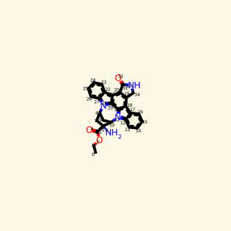 CCOC(=O)[C@]1(N)CC2CC1n1c3ccccc3c3c4c(c5c6ccccc6n2c5c31)C(=O)NC4